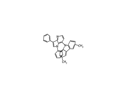 Cc1ccc2c(c1)c1cc(C)ccc1n2-c1ccnc2c(-c3ccccc3)cn(-c3ccccc3)c12